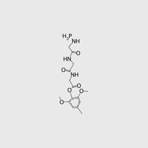 COc1cc(C)cc(OC)c1OC(=O)CNC(=O)CNC(=O)CNP